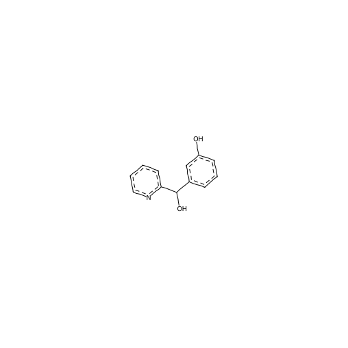 Oc1cccc(C(O)c2ccccn2)c1